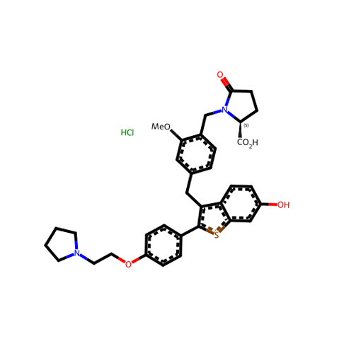 COc1cc(Cc2c(-c3ccc(OCCN4CCCC4)cc3)sc3cc(O)ccc23)ccc1CN1C(=O)CC[C@H]1C(=O)O.Cl